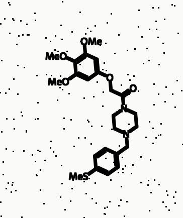 COc1cc(OCC(=O)N2CCN(Cc3ccc(SC)cc3)CC2)cc(OC)c1OC